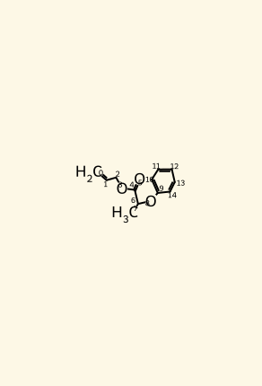 C=CCOC(=O)C(C)Oc1ccccc1